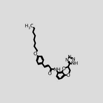 CCCCCCCCOc1ccc(C=CC(=O)Nc2cccc3c2OC(c2nnn[nH]2)CO3)cc1